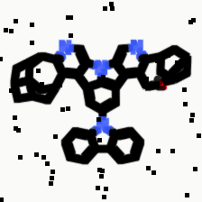 c1ccc2c(c1)c1ccccc1n2-c1cc2c3c4c(ncc3n3c5cnc6c(c5c(c1)c23)C1CC2CC3CC6CC32C1)C1CC2CC(C1)CC4C2